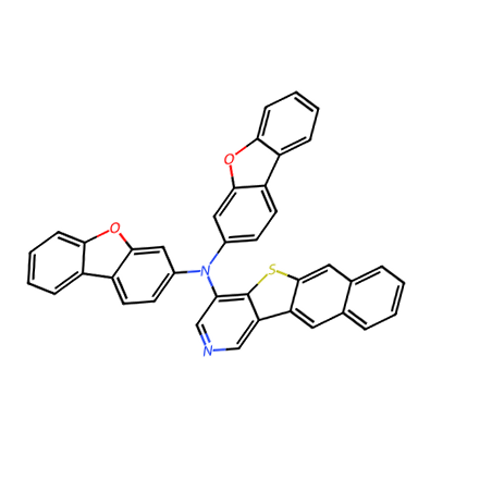 c1ccc2cc3c(cc2c1)sc1c(N(c2ccc4c(c2)oc2ccccc24)c2ccc4c(c2)oc2ccccc24)cncc13